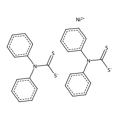 S=C([S-])N(c1ccccc1)c1ccccc1.S=C([S-])N(c1ccccc1)c1ccccc1.[Ni+2]